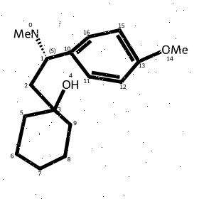 CN[C@@H](CC1(O)CCCCC1)c1ccc(OC)cc1